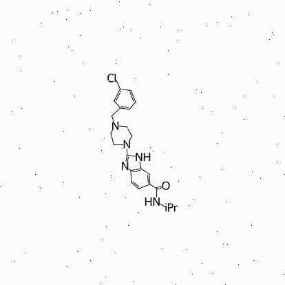 CC(C)NC(=O)c1ccc2nc(N3CCN(Cc4cccc(Cl)c4)CC3)[nH]c2c1